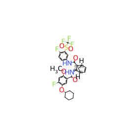 COc1cc(F)c(OC2CCCCC2)cc1C(=O)N[C@H]1[C@@H](C(=O)Nc2ccc(F)c(S(=O)(=O)C(F)(F)F)c2)[C@@H]2C=C[C@H]1C2